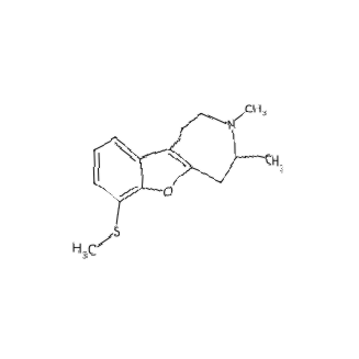 CSc1cccc2c3c(oc12)CC(C)N(C)CC3